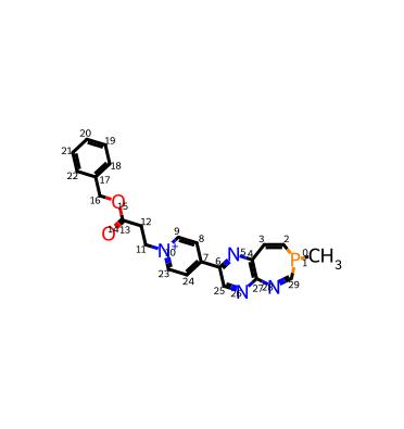 CP1C=Cc2nc(-c3cc[n+](CCC(=O)OCc4ccccc4)cc3)cnc2N=C1